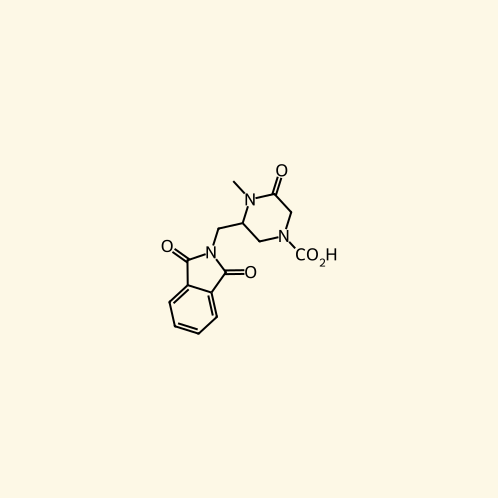 CN1C(=O)CN(C(=O)O)CC1CN1C(=O)c2ccccc2C1=O